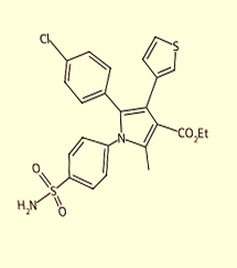 CCOC(=O)c1c(-c2ccsc2)c(-c2ccc(Cl)cc2)n(-c2ccc(S(N)(=O)=O)cc2)c1C